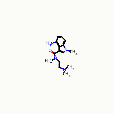 CN(C)CCN(C)C(=O)c1cn(C)c2cccc(N)c12